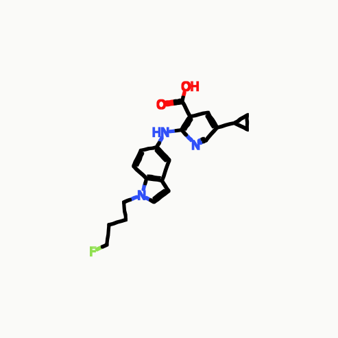 O=C(O)c1cc(C2CC2)cnc1Nc1ccc2c(ccn2CCCCF)c1